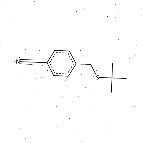 CC(C)(C)SCc1ccc(C#N)cc1